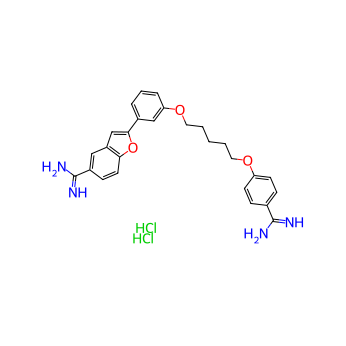 Cl.Cl.N=C(N)c1ccc(OCCCCCOc2cccc(-c3cc4cc(C(=N)N)ccc4o3)c2)cc1